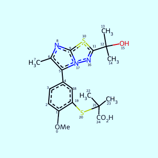 COc1ccc(-c2c(C)nc3sc(C(C)(C)O)nn23)cc1SC(C)(C)C(=O)O